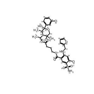 CC(OC(=O)CCCOC(=O)c1cc(S(N)(=O)=O)c(Cl)cc1NCc1ccco1)N1[C@@H](C)[C@](O)(c2cccc(Cl)c2)OCC1(C)C